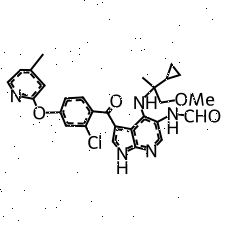 COCC(C)(Nc1c(NC=O)cnc2[nH]cc(C(=O)c3ccc(Oc4cc(C)ccn4)cc3Cl)c12)C1CC1